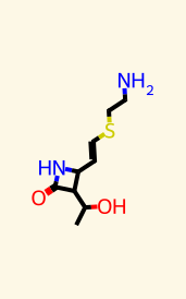 CC(O)C1C(=O)NC1/C=C/SCCN